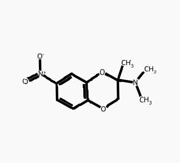 CN(C)C1(C)COc2ccc([N+](=O)[O-])cc2O1